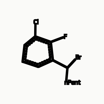 CCCCCC(Br)c1cccc(Cl)c1F